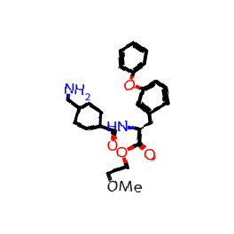 COCCOC(=O)[C@H](Cc1cccc(Oc2ccccc2)c1)NC(=O)C1CCC(CN)CC1